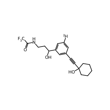 [2H]c1cc(C#CC2(O)CCCCC2)cc(C(O)CCNC(=O)C(F)(F)F)c1